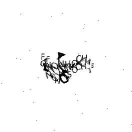 Cn1nc(OC(F)F)cc1N=C=N[C@H]1CCc2sc(NC(=O)OC(C)(C)C)c(C(=O)NCC3CC3)c2C1